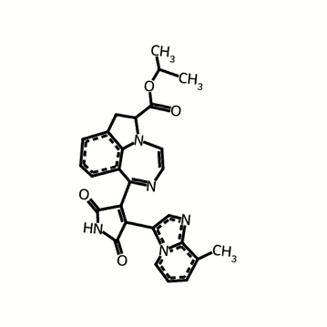 Cc1cccn2c(C3=C(C4=NC=CN5c6c(cccc64)CC5C(=O)OC(C)C)C(=O)NC3=O)cnc12